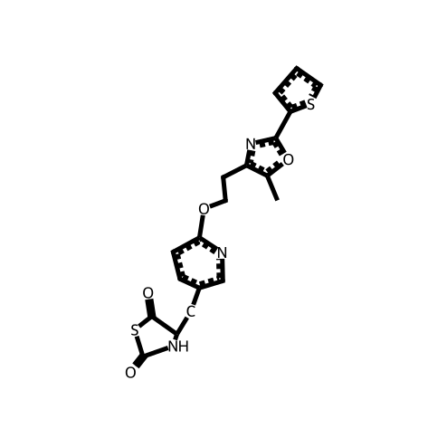 Cc1oc(-c2cccs2)nc1CCOc1ccc(CC2NC(=O)SC2=O)cn1